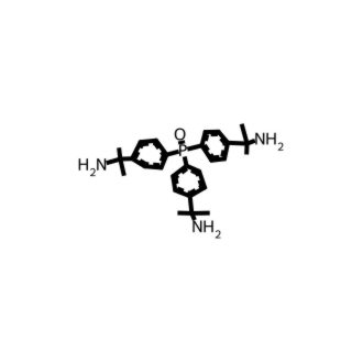 CC(C)(N)c1ccc(P(=O)(c2ccc(C(C)(C)N)cc2)c2ccc(C(C)(C)N)cc2)cc1